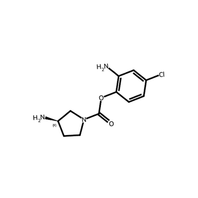 Nc1cc(Cl)ccc1OC(=O)N1CC[C@@H](N)C1